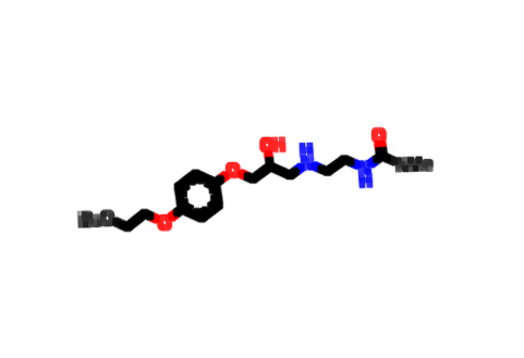 CNC(=O)NCCNCC(O)COc1ccc(OCCOCC(C)C)cc1